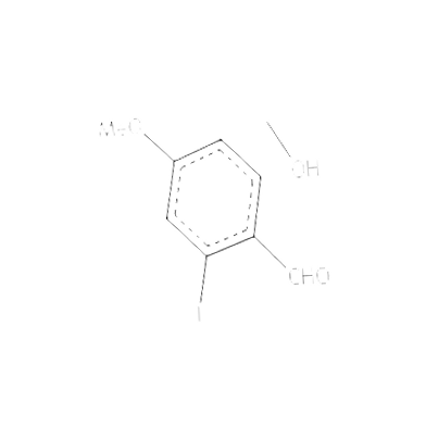 CO.COc1ccc(C=O)c(I)c1